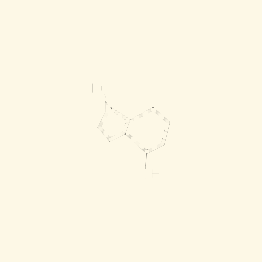 CCn1ccc2c(O)cccc21